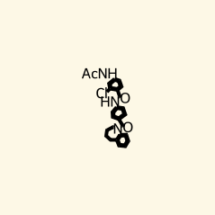 CC(=O)Nc1ccc(C(=O)Nc2ccc(C(=O)N3CCCCc4ccccc43)cc2)c(Cl)c1